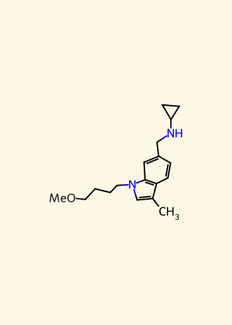 COCCCCn1cc(C)c2ccc(CNC3CC3)cc21